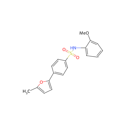 COc1cc[c]cc1NS(=O)(=O)c1ccc(-c2ccc(C)o2)cc1